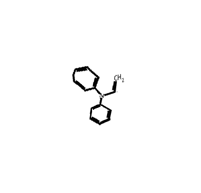 C=[C]N(c1ccccc1)c1ccccc1